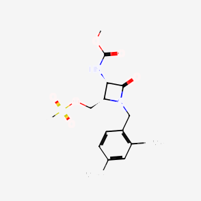 COc1ccc(CN2C(=O)[C@H](NC(=O)OC(C)(C)C)[C@@H]2COS(C)(=O)=O)c(OC)c1